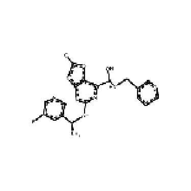 Cc1nc2nc(N[C@@H](C)c3cncc(F)c3)nc(C(O)NCc3cccnc3)c2s1